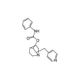 O=C(Nc1ccccc1)OC1C2CCN(CC2)C1Cc1ccncc1